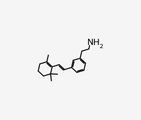 CC1=C(C=Cc2cccc(CCN)c2)C(C)(C)CCC1